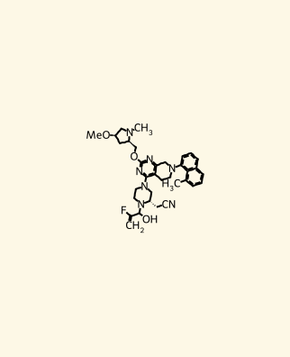 C=C(F)C(O)N1CCN(c2nc(OC[C@H]3C[C@@H](OC)CN3C)nc3c2CCN(c2cccc4cccc(C)c24)C3)C[C@@H]1CC#N